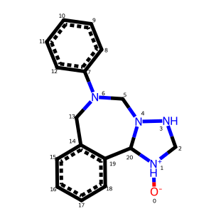 [O-][NH+]1CNN2CN(c3ccccc3)Cc3ccccc3C21